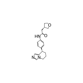 O=C(C[C@H]1CCOC1)Nc1ccc([C@H]2CCCn3cncc32)cc1